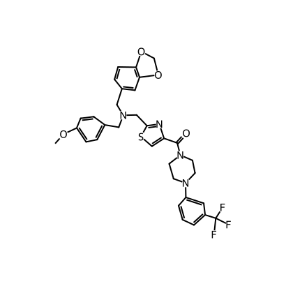 COc1ccc(CN(Cc2ccc3c(c2)OCO3)Cc2nc(C(=O)N3CCN(c4cccc(C(F)(F)F)c4)CC3)cs2)cc1